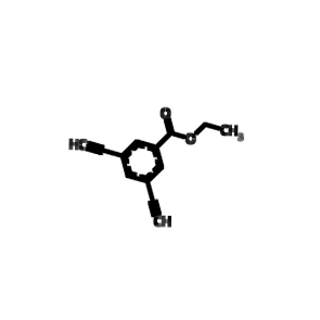 C#Cc1cc(C#C)cc(C(=O)OCC)c1